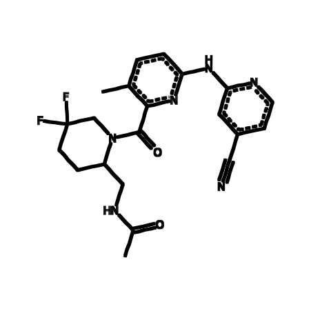 CC(=O)NCC1CCC(F)(F)CN1C(=O)c1nc(Nc2cc(C#N)ccn2)ccc1C